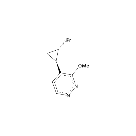 COc1nnccc1[C@H]1C[C@@H]1C(C)C